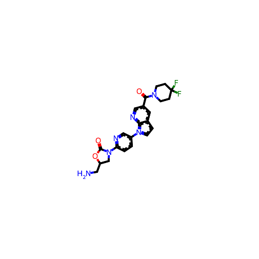 NCC1CN(c2ccc(-n3ccc4cc(C(=O)N5CCC(F)(F)CC5)cnc43)cn2)C(=O)O1